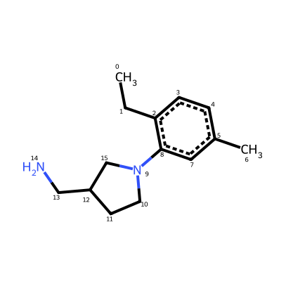 CCc1ccc(C)cc1N1CCC(CN)C1